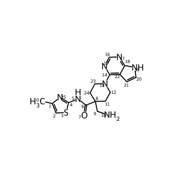 Cc1csc(NC(=O)C2(CN)CCN(c3ncnc4[nH]ccc34)CC2)n1